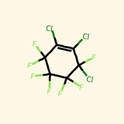 FC1(F)C(Cl)=C(Cl)C(F)(Cl)C(F)(F)C1(F)F